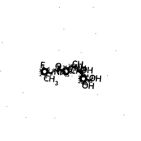 Cc1ccc(F)cc1CCNC(=O)c1cccc(CC(C)(C)NC[C@@H](O)c2ccc(O)c(CO)c2)c1